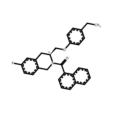 CCc1ccc(OC[C@@H]2Cc3cc(F)ccc3CN2C(=O)c2cccc3ccccc23)cc1